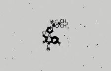 CC(C)(C)OC(=O)N1CC[C@@H](N2C(CCl)=C(I)C(=C=O)c3cc(F)ccc32)C1